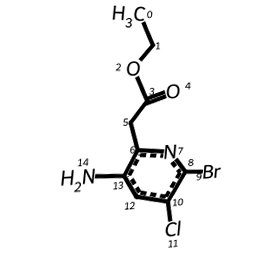 CCOC(=O)Cc1nc(Br)c(Cl)cc1N